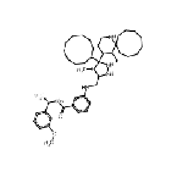 COc1cccc([C@@H](C)NC(=O)c2cccc(NCC3NNC(C4CCCCCCCCC4)(C4CCNC5(CCCCCCCC5)C4F)N3C)c2)c1